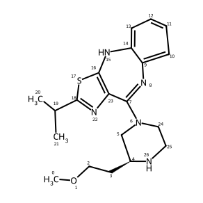 COCC[C@H]1CN(C2=Nc3ccccc3Nc3sc(C(C)C)nc32)CCN1